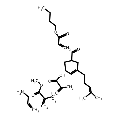 C=C(C)C(=O)O.C=C(C)C(=O)OC.C=CC(=O)OCCCC.C=CCN.CC(C)=CCCC1=CCCC(C=O)C1